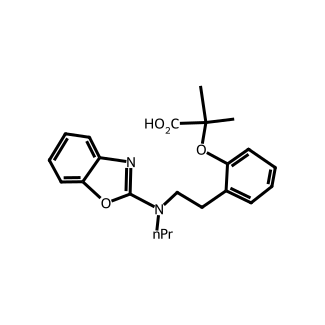 CCCN(CCc1ccccc1OC(C)(C)C(=O)O)c1nc2ccccc2o1